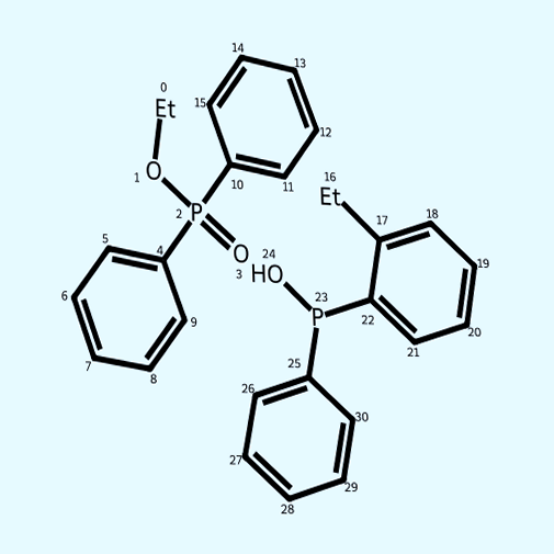 CCOP(=O)(c1ccccc1)c1ccccc1.CCc1ccccc1P(O)c1ccccc1